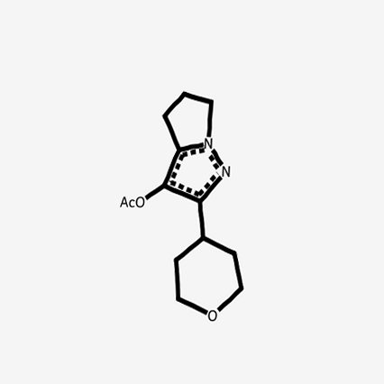 CC(=O)Oc1c(C2CCOCC2)nn2c1CCC2